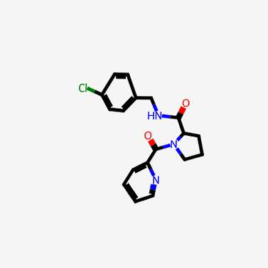 O=C(NCc1ccc(Cl)cc1)C1CCCN1C(=O)c1ccccn1